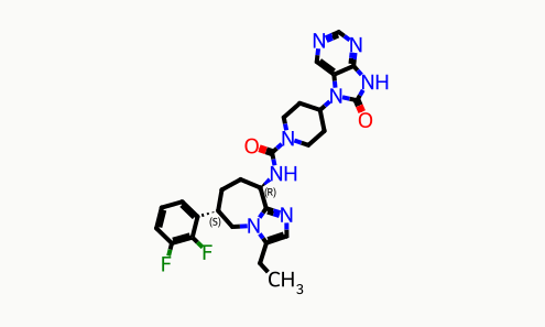 CCc1cnc2n1C[C@H](c1cccc(F)c1F)CC[C@H]2NC(=O)N1CCC(n2c(=O)[nH]c3ncncc32)CC1